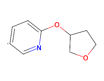 [c]1ccc(OC2CCOC2)nc1